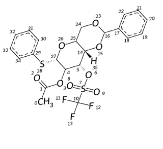 CC(=O)OC1[C@@H](OS(=O)(=O)C(F)(F)F)[C@H]2OC(c3ccccc3)OCC2O[C@H]1Sc1ccccc1